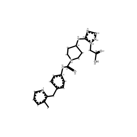 Cc1cccnc1Cc1ccc(OC(=O)N2CCC(Sc3nnnn3CC(=O)O)CC2)cc1